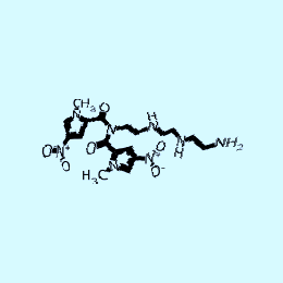 Cn1cc([N+](=O)[O-])cc1C(=O)N(CCNCCNCCN)C(=O)c1cc([N+](=O)[O-])cn1C